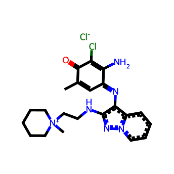 CC1=CC(=Nc2c(NCC[N+]3(C)CCCCC3)nn3ccccc23)C(N)=C(Cl)C1=O.[Cl-]